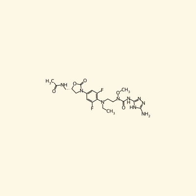 CCN(CCN(OC)C(=O)Nc1nnc(N)[nH]1)c1c(F)cc(N2C[C@H](CNC(C)=O)OC2=O)cc1F